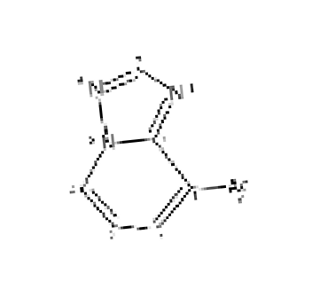 CC(=O)c1cccn2ncnc12